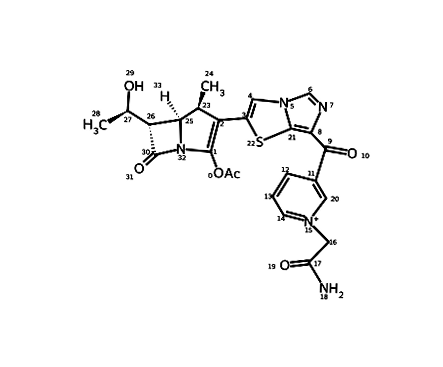 CC(=O)OC1=C(c2cn3cnc(C(=O)c4ccc[n+](CC(N)=O)c4)c3s2)[C@H](C)[C@@H]2[C@@H]([C@@H](C)O)C(=O)N12